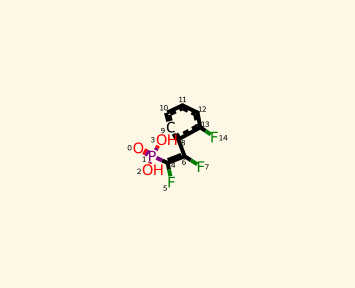 O=P(O)(O)C(F)=C(F)c1ccccc1F